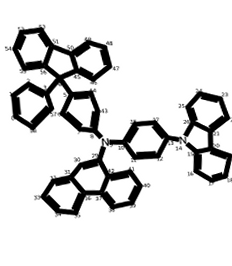 c1ccc(C2(c3ccc(N(c4ccc(-n5c6ccccc6c6ccccc65)cc4)c4cc5ccccc5c5ccccc45)cc3)c3ccccc3-c3ccccc32)cc1